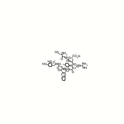 N=C(N)NCCC[C@H](NC(=O)[C@H](CCC(=O)O)NC(=O)CNC(=O)[C@@H](N)CS)C(=O)NCC(=O)N[C@@H](Cc1ccccc1)C(=O)N[C@@H](Cc1ccccc1)C(=O)N[C@@H](Cc1ccc(O)cc1)C(=O)O